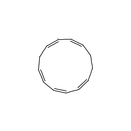 [C]1=CCC=CC=CC=CCCC=C1